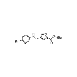 CC(C)c1ccc(NCc2cnn(C(=O)OC(C)(C)C)c2)cn1